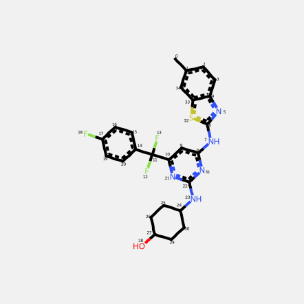 Cc1ccc2nc(Nc3cc(C(F)(F)c4ccc(F)cc4)nc(NC4CCC(O)CC4)n3)sc2c1